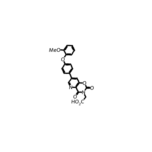 COc1ccccc1Oc1ccc(-c2cnc3c(=O)n(CC(=O)O)c(=O)oc3c2)cc1